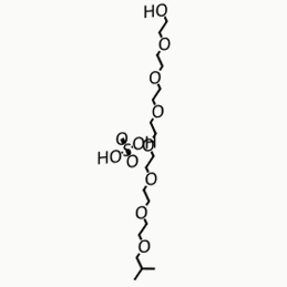 CC(C)COCCOCCOCCOCCOCCOCCOCCO.O=S(=O)(O)O